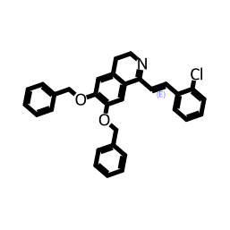 Clc1ccccc1/C=C/C1=NCCc2cc(OCc3ccccc3)c(OCc3ccccc3)cc21